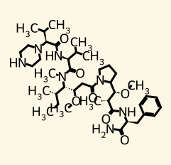 CC[C@H](C)[C@@H](C(CC(=O)N1CCCC1[C@H](OC)[C@@H](C)C(=O)N[C@@H](Cc1ccccc1)C(N)=O)OC)N(C)C(=O)[C@@H](NC(=O)[C@H](C(C)C)N1CCNCC1)C(C)C